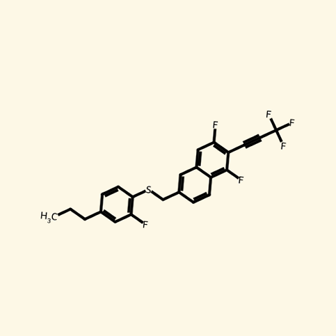 CCCc1ccc(SCc2ccc3c(F)c(C#CC(F)(F)F)c(F)cc3c2)c(F)c1